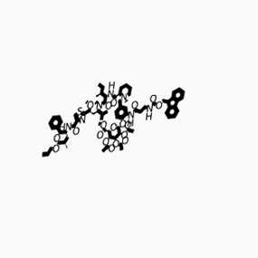 C=CCOC(=O)[C@@H](C)C[C@H](Cc1ccccc1)NC(=O)c1csc([C@@H](C[C@H](C(C)C)N(C)C(=O)[C@@H](NC(=O)[C@H]2CCCC[N+]2(C)Cc2ccc(O[C@@H]3O[C@H](C(=O)OC)[C@@H](OC(C)=O)[C@@H](OC(C)=O)[C@@H]3OC(C)=O)c(NC(=O)CCNC(=O)OCC3c4ccccc4-c4ccccc43)c2)[C@@H](C)CC)OC)n1